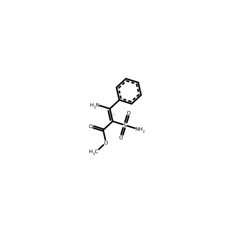 COC(=O)/C(=C(\N)c1ccccc1)S(N)(=O)=O